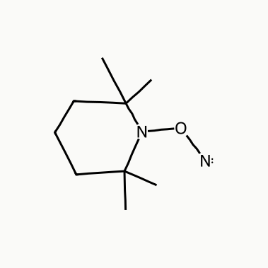 CC1(C)CCCC(C)(C)N1O[N]